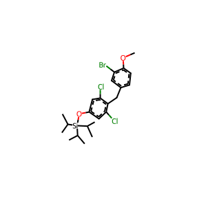 COc1ccc(Cc2c(Cl)cc(O[Si](C(C)C)(C(C)C)C(C)C)cc2Cl)cc1Br